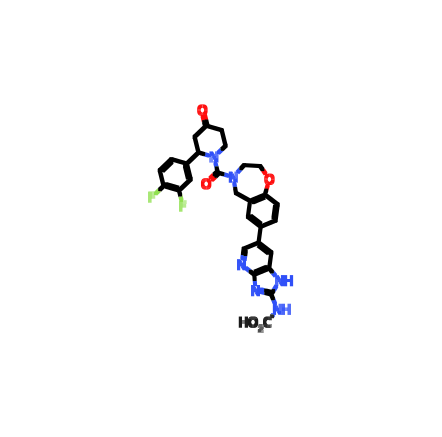 O=C1CCN(C(=O)N2CCOc3ccc(-c4cnc5nc(NC(=O)O)[nH]c5c4)cc3C2)C(c2ccc(F)c(F)c2)C1